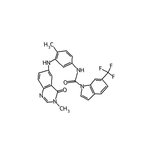 Cc1ccc(NC(=O)n2ccc3ccc(C(F)(F)F)cc32)cc1Nc1ccc2ncn(C)c(=O)c2c1